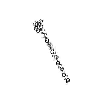 COCCOCCOCCOCCOCCOCCOCCOCCCCCC(=O)ON1C(=O)CCC1=O